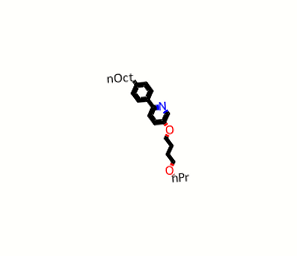 CCCCCCCCc1ccc(-c2ccc(OCCCCOCCC)cn2)cc1